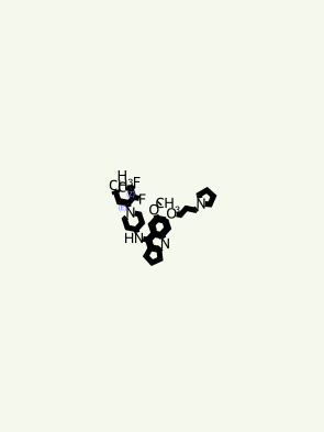 C#C/C=C(\C(F)=C(/C)F)N1CCC(Nc2c3c(nc4cc(OCCCN5CCCC5)c(OC)cc24)CCC3)CC1